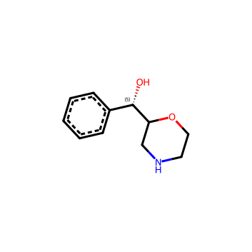 O[C@@H](c1ccccc1)C1CNCCO1